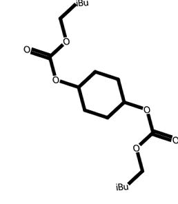 CCC(C)COC(=O)OC1CCC(OC(=O)OCC(C)CC)CC1